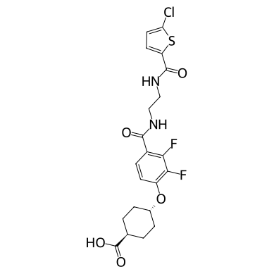 O=C(NCCNC(=O)c1ccc(O[C@H]2CC[C@H](C(=O)O)CC2)c(F)c1F)c1ccc(Cl)s1